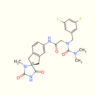 CN(C)C(=O)N(CC(=O)Nc1ccc2c(c1)C[C@@]1(C2)C(=O)NC(=O)N1C)Cc1cc(F)cc(F)c1